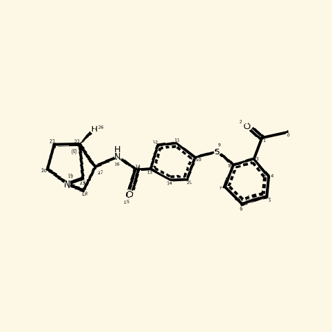 CC(=O)c1ccccc1Sc1ccc(C(=O)NC2CN3CC[C@H]2C3)cc1